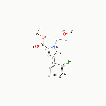 CCOC(=O)c1cc(-c2ccccc2Cl)cn1CCOC